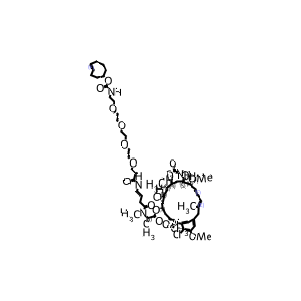 COc1cc2cc(c1Cl)N(C)C(=O)C[C@H](OC(=O)[C@H](C)N(C)C(=O)CCCNC(=O)CCOCCOCCOCCOCCNC(=O)OC1CC/C=C/CCC1)C1O[C@H]1[C@H](C)[C@@H]1C[C@@](O)(NC(=O)O1)[C@H](OC)/C=C/C=C(\C)C2